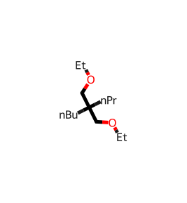 CCCCC(CCC)(COCC)COCC